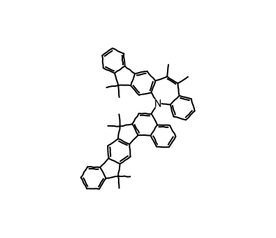 CC1=C(C)c2cc3c(cc2N(c2cc4c(c5ccccc25)-c2cc5c(cc2C4(C)C)-c2ccccc2C5(C)C)c2ccccc21)C(C)(C)c1ccccc1-3